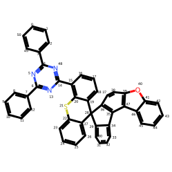 c1ccc(-c2nc(-c3ccccc3)nc(-c3cccc4c3Sc3ccccc3C43c4ccccc4-c4c3ccc3oc5ccccc5c43)n2)cc1